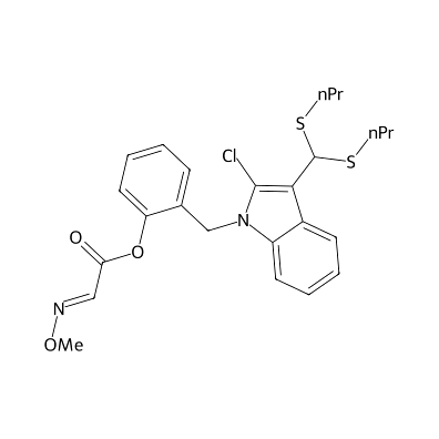 CCCSC(SCCC)c1c(Cl)n(Cc2ccccc2OC(=O)C=NOC)c2ccccc12